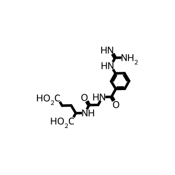 N=C(N)Nc1cccc(C(=O)NCC(=O)NC(CCC(=O)O)C(=O)O)c1